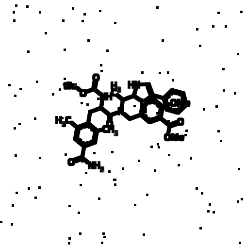 COC(=O)c1cc(CN(C(=O)C(Cc2c(C)cc(C(N)=O)cc2C)NC(=O)OC(C)(C)C)C(C)C2NC=C(c3ccccc3)N2)ccc1OC